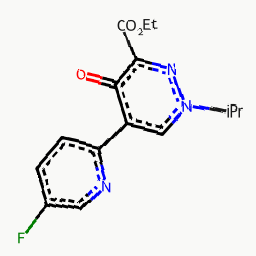 CCOC(=O)c1nn(C(C)C)cc(-c2ccc(F)cn2)c1=O